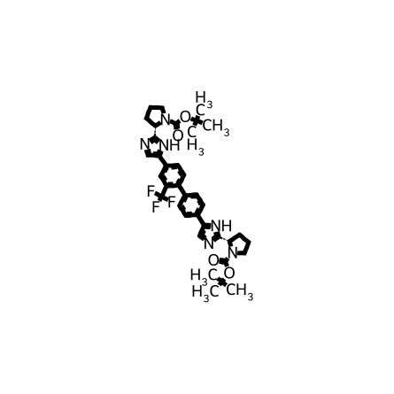 CC(C)(C)OC(=O)N1CCC[C@H]1c1ncc(-c2ccc(-c3ccc(-c4cnc([C@@H]5CCCN5C(=O)OC(C)(C)C)[nH]4)cc3C(F)(F)F)cc2)[nH]1